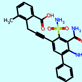 Cc1cccc(C(=O)O)c1CC#Cc1cc(-c2ccccc2)c(N)c(C(N)=O)c1S(N)(=O)=O